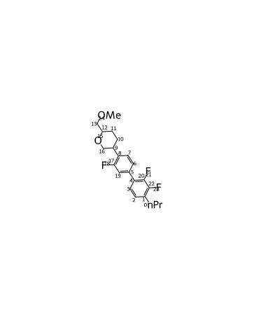 CCCc1ccc(-c2ccc(C3CCC(COC)OC3)c(F)c2)c(F)c1F